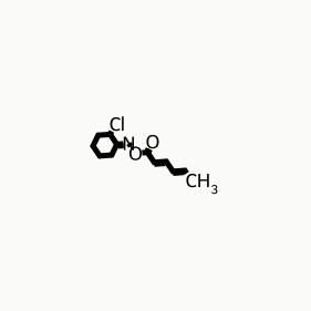 CC=CC=CC(=O)ON=C1CCCCC1Cl